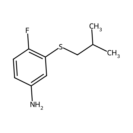 CC(C)CSc1cc(N)ccc1F